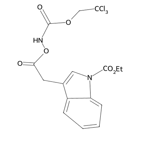 CCOC(=O)n1cc(CC(=O)ONC(=O)OCC(Cl)(Cl)Cl)c2ccccc21